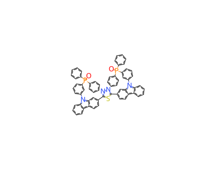 O=P(c1ccccc1)(c1ccccc1)c1cccc(-n2c3ccccc3c3ccc(-c4nnc(-c5ccc6c7ccccc7n(-c7cccc(P(=O)(c8ccccc8)c8ccccc8)c7)c6c5)s4)cc32)c1